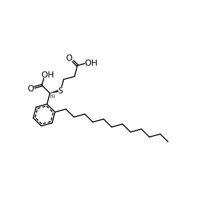 CCCCCCCCCCCCc1ccccc1[C@H](SCCC(=O)O)C(=O)O